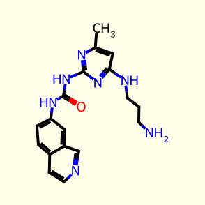 Cc1cc(NCCCN)nc(NC(=O)Nc2ccc3ccncc3c2)n1